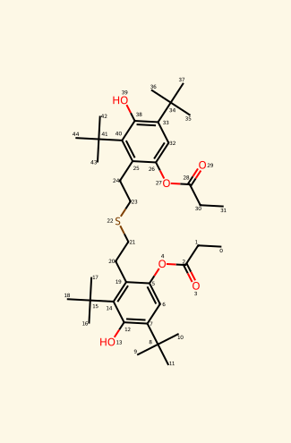 CCC(=O)Oc1cc(C(C)(C)C)c(O)c(C(C)(C)C)c1CCSCCc1c(OC(=O)CC)cc(C(C)(C)C)c(O)c1C(C)(C)C